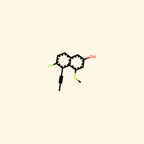 CC#Cc1c(F)ccc2cc(O)cc(SC)c12